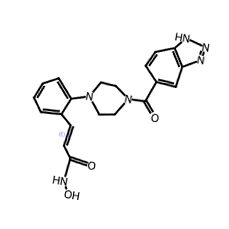 O=C(/C=C/c1ccccc1N1CCN(C(=O)c2ccc3[nH]nnc3c2)CC1)NO